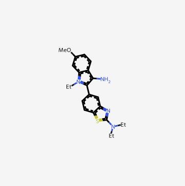 CCN(CC)c1nc2cc(-c3c(N)c4ccc(OC)cc4n3CC)ccc2s1